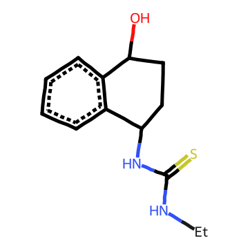 CCNC(=S)NC1CCC(O)c2ccccc21